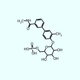 CNC(=O)c1cccc(-c2ccc(OC3OC(COP(=O)(O)O)C(O)C(O)C3O)c(C)c2)c1